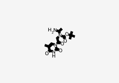 Cc1cn(C(=O)CN(C(=O)OC(C)(C)C)C(C)N)c(=O)[nH]c1=O